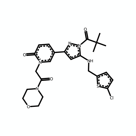 CC(C)(C)C(=O)n1nc(-c2ccc(=O)n(CC(=O)N3CCOCC3)c2)cc1NCc1ccc(Cl)s1